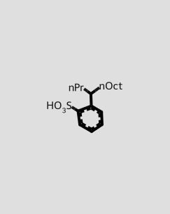 CCCCCCCCC(CCC)c1ccccc1S(=O)(=O)O